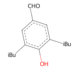 CCC(C)c1cc(C=O)cc(C(C)CC)c1O